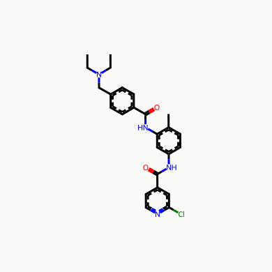 CCN(CC)Cc1ccc(C(=O)Nc2cc(NC(=O)c3ccnc(Cl)c3)ccc2C)cc1